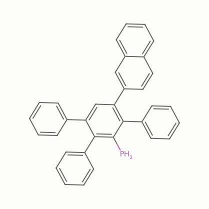 Pc1c(-c2ccccc2)c(-c2ccccc2)cc(-c2ccc3ccccc3c2)c1-c1ccccc1